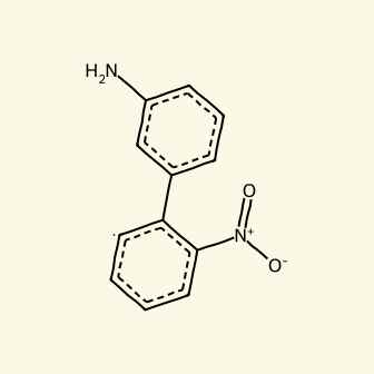 Nc1cccc(-c2[c]cccc2[N+](=O)[O-])c1